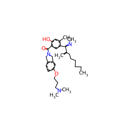 C=C(CCCCCC)/C(=N/C)c1cc(C(=O)N2Cc3ccc(OCCCN(C)C)cc3C2)c(O)cc1C